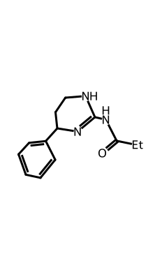 CCC(=O)NC1=NC(c2ccccc2)CCN1